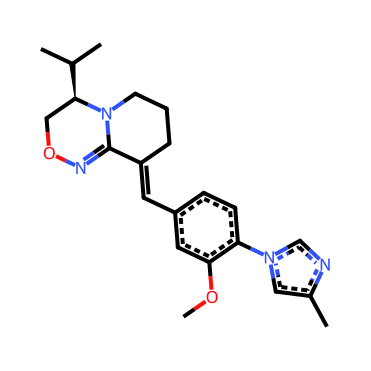 COc1cc(/C=C2\CCCN3C2=NOC[C@H]3C(C)C)ccc1-n1cnc(C)c1